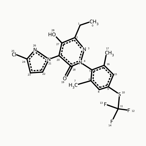 CCc1nn(-c2c(C)cc(SC(F)(F)F)cc2C)c(=O)c(-n2ccc(Cl)n2)c1O